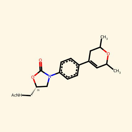 CC(=O)NC[C@H]1CN(c2ccc(C3=CC(C)OC(C)C3)cc2)C(=O)O1